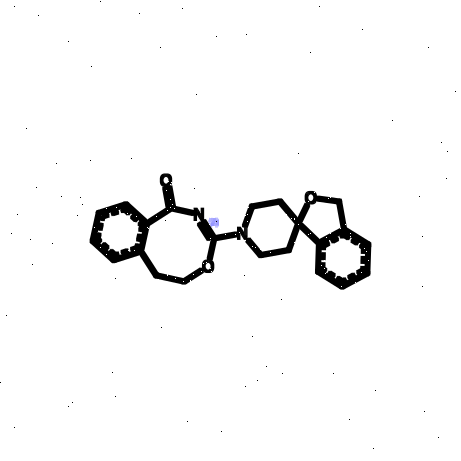 O=C1/N=C(/N2CCC3(CC2)OCc2ccccc23)OCCc2ccccc21